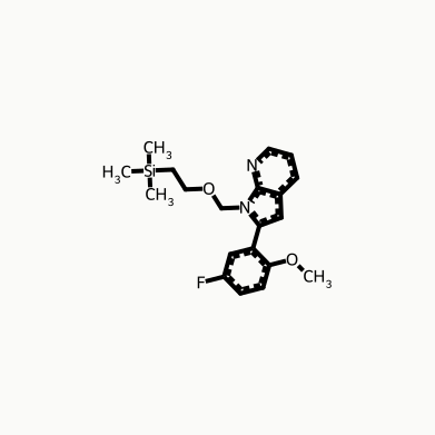 COc1ccc(F)cc1-c1cc2cccnc2n1COCC[Si](C)(C)C